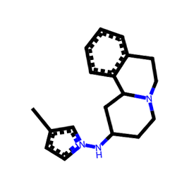 Cc1ccn(NC2CCN3CCc4ccccc4C3C2)c1